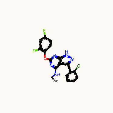 CC(=O)CNc1nc(Oc2ccc(F)cc2F)nc2[nH]nc(-c3ccccc3Cl)c12